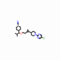 CC(C)C(OCCC1CC1C1CCN(c2ncc(Cl)cn2)CC1)C1CCB(C#N)CC1